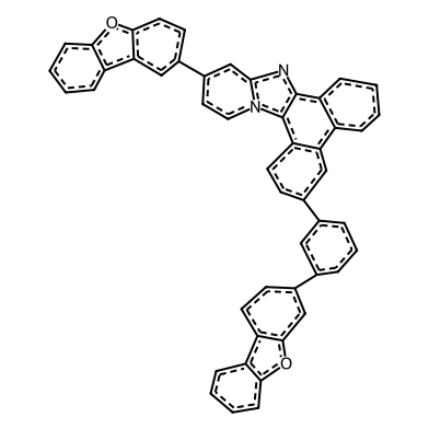 c1cc(-c2ccc3c(c2)oc2ccccc23)cc(-c2ccc3c(c2)c2ccccc2c2nc4cc(-c5ccc6oc7ccccc7c6c5)ccn4c32)c1